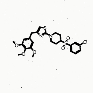 COc1cc(Cc2csc(N3CCC(S(=O)(=O)c4cccc(Cl)c4)CC3)n2)cc(OC)c1OC